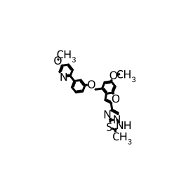 COc1ccc(-c2cccc(OCc3cc(OC)cc4oc(-c5cn6c(n5)SC(C)N6)cc34)c2)nc1